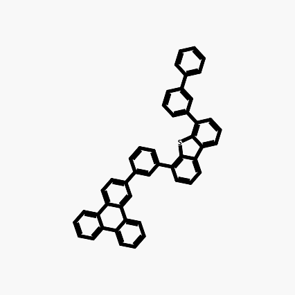 c1ccc(-c2cccc(-c3cccc4c3sc3c(-c5cccc(-c6ccc7c8ccccc8c8ccccc8c7c6)c5)cccc34)c2)cc1